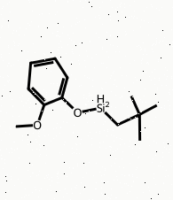 COc1ccccc1O[SiH2]CC(C)(C)C